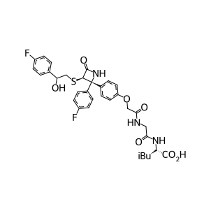 CC[C@H](C)[C@H](NC(=O)CNC(=O)COc1ccc([C@]2(c3ccc(F)cc3)NC(=O)[C@@H]2SCC(O)c2ccc(F)cc2)cc1)C(=O)O